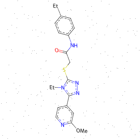 CCc1ccc(NC(=O)CSc2nnc(-c3ccnc(OC)c3)n2CC)cc1